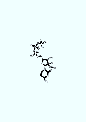 CCO[C@@]1(O)[C@H](O)[C@@H](COP(=O)(O)OP(=O)(O)OP(=O)(O)O)O[C@H]1n1ccc(N)nc1=O